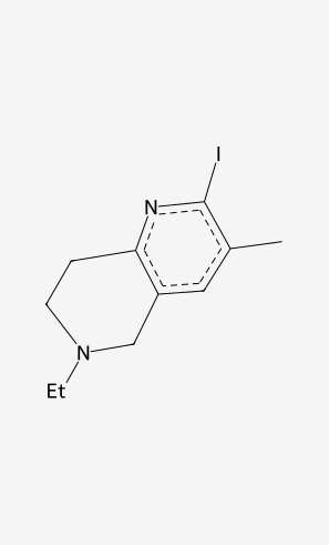 CCN1CCc2nc(I)c(C)cc2C1